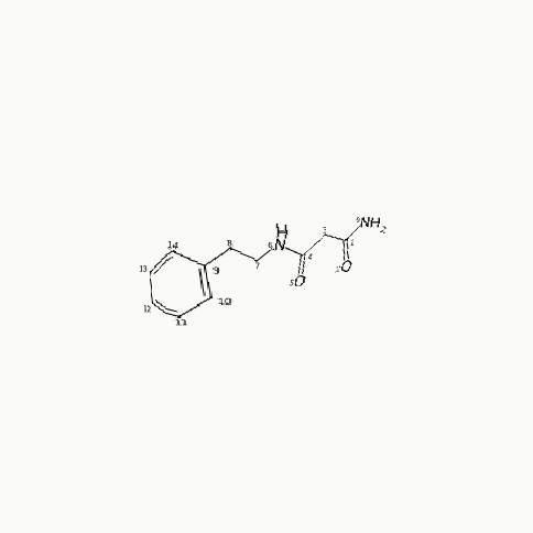 NC(=O)CC(=O)NCCc1ccccc1